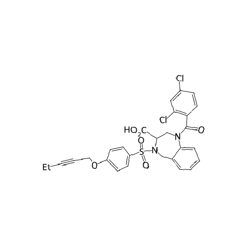 CCC#CCOc1ccc(S(=O)(=O)N2Cc3ccccc3N(C(=O)c3ccc(Cl)cc3Cl)CC2C(=O)O)cc1